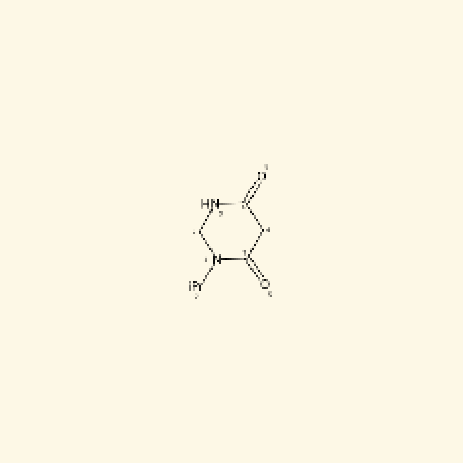 CC(C)N1CNC(=O)CC1=O